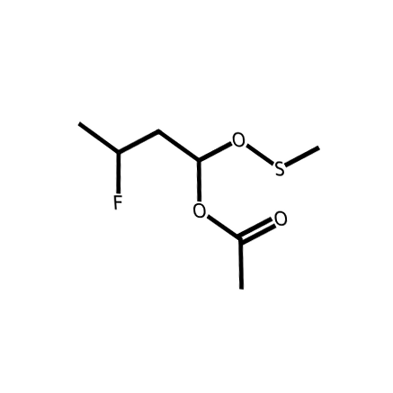 CSOC(CC(C)F)OC(C)=O